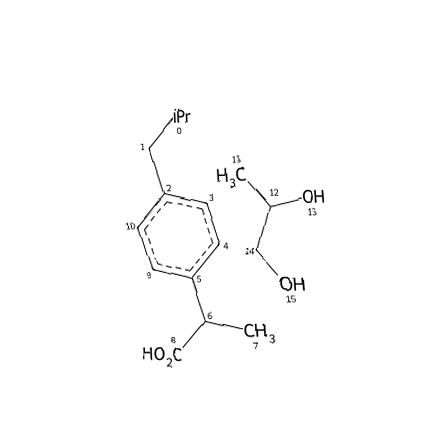 CC(C)Cc1ccc(C(C)C(=O)O)cc1.CC(O)CO